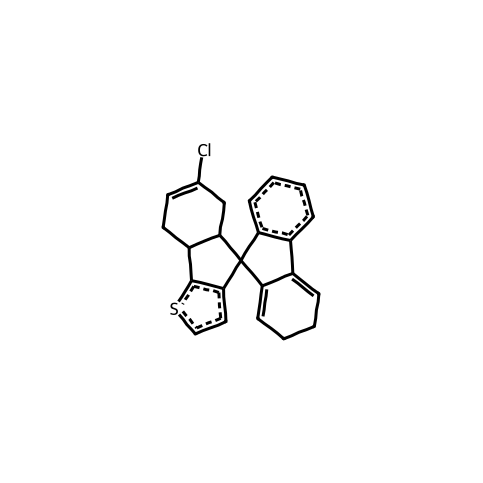 ClC1=CCC2c3sccc3C3(C4=CCCC=C4c4ccccc43)C2C1